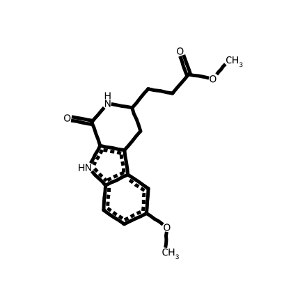 COC(=O)CCC1Cc2c([nH]c3ccc(OC)cc23)C(=O)N1